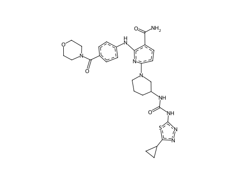 NC(=O)c1ccc(N2CCCC(NC(=O)Nc3nnc(C4CC4)s3)C2)nc1Nc1ccc(C(=O)N2CCOCC2)cc1